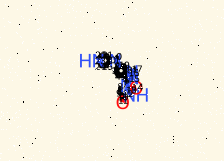 CN(c1ccc2c(N3CCC(=O)NC3=O)nn(C)c2c1)C1CCNCC1